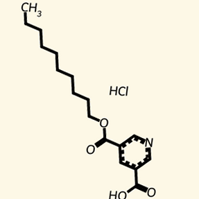 CCCCCCCCCCOC(=O)c1cncc(C(=O)O)c1.Cl